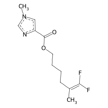 CC(CCCCOC(=O)c1cn(C)cn1)=C(F)F